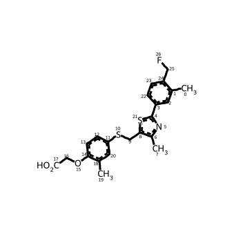 Cc1cc(-c2nc(C)c(CSc3ccc(OCC(=O)O)c(C)c3)s2)ccc1CF